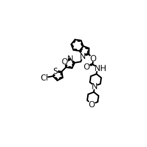 O=C(NC1CCN(C2CCOCC2)CC1)Oc1cc2ccccc2n1Cc1cc(-c2ccc(Cl)s2)on1